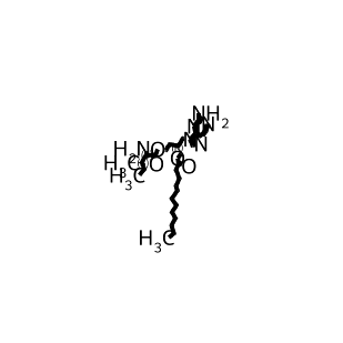 CCCCCCCCCCCC(=O)OC[C@H](CCOC(=O)[C@@H](N)[C@@H](C)CC)Cn1cnc2cnc(N)nc21